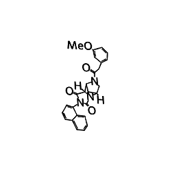 COc1cccc(CC(=O)N2C[C@H]3CC2[C@H]2C(=O)N(c4cccc5ccccc45)C(=O)N32)c1